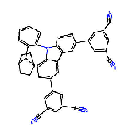 N#Cc1cc(C#N)cc(-c2ccc3c(c2)c2cc(-c4cc(C#N)cc(C#N)c4)ccc2n3-c2ccccc2C2C3CCC2CC3)c1